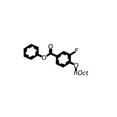 CCCCCCCCOc1ccc(C(=O)Oc2ccccc2)cc1F